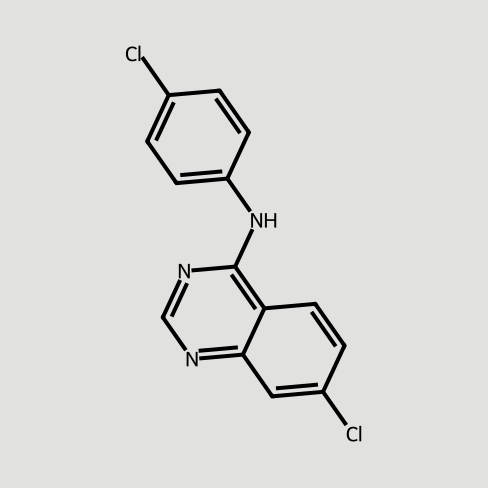 Clc1ccc(Nc2ncnc3cc(Cl)ccc23)cc1